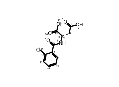 O=C(O)C[C@H](NC(=O)c1ccccc1Cl)C(=O)O